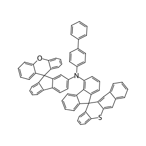 c1ccc(-c2ccc(N(c3ccc4c(c3)C3(c5ccccc5Oc5ccccc53)c3ccccc3-4)c3cccc4c3-c3ccccc3C43c4ccccc4Sc4cc5ccccc5cc43)cc2)cc1